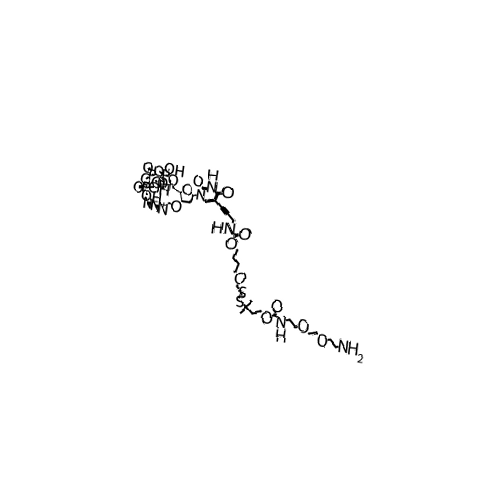 CC(C)(CCOC(=O)NCCOCCOCCN)SSCOCCCCOC(=O)NCC#Cc1cn([C@H]2C[C@H](OCN=[N+]=[N-])[C@@H](COP(=O)(O)OP(=O)(O)OP(=O)(O)O)O2)c(=O)[nH]c1=O